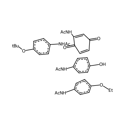 CC(=O)NC1=CC(=O)C=CC1=O.CC(=O)Nc1ccc(O)cc1.CC(=O)Nc1ccc(OC(C)(C)C)cc1.CCOc1ccc(NC(C)=O)cc1